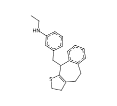 CCNc1cccc(CC2C3=C(CCS3)CCc3ccccc32)c1